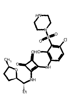 CC[C@@H](Nc1c(Nc2ccc(Cl)c(S(=O)(=O)N3CCNCC3)c2O)c(=O)c1=O)[C@H]1CC[C@@H](C)O1